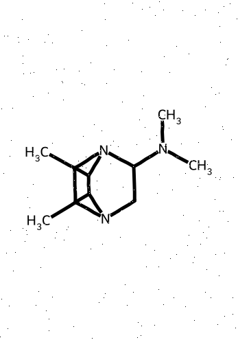 CC1C(C)N2CCN1CC2N(C)C